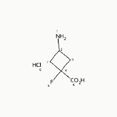 Cl.NC1CC(F)(C(=O)O)C1